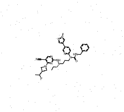 CCCN(CCCN(C(=O)NCc1ccccc1)c1ccc(-c2cnn(C)c2)cn1)Nc1ncc(C#N)c(N2CC(C(C)F)C2)n1